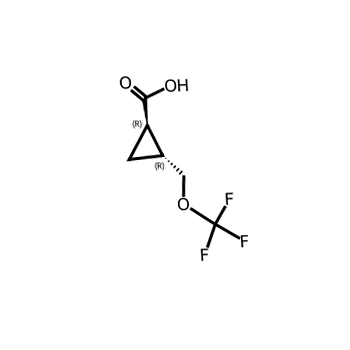 O=C(O)[C@@H]1C[C@H]1COC(F)(F)F